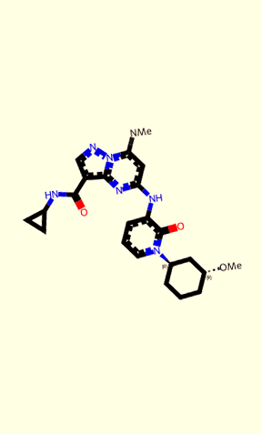 CNc1cc(Nc2cccn([C@@H]3CCC[C@@H](OC)C3)c2=O)nc2c(C(=O)NC3CC3)cnn12